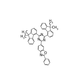 CC1(C)c2ccccc2-c2c(-c3nc(-c4ccc5nc(-c6ccccc6)oc5c4)nc(-c4cccc5c4-c4ccccc4C5(C)C)n3)cccc21